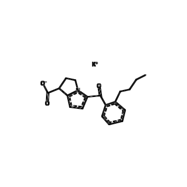 CCCCc1ccccc1C(=O)c1ccc2n1CCC2C(=O)[O-].[K+]